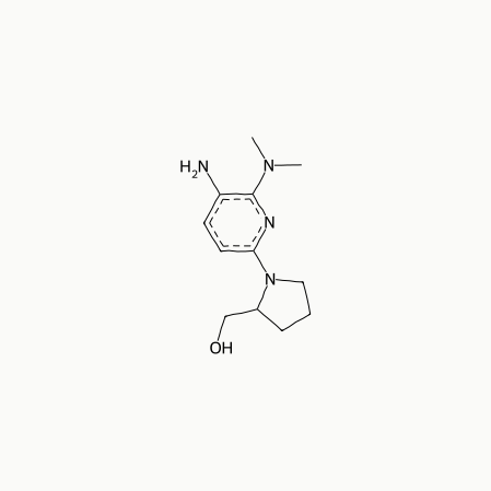 CN(C)c1nc(N2CCCC2CO)ccc1N